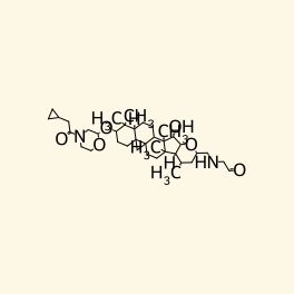 C[C@@H]1CC(CNCC=O)OC2[C@H]1C1(C)CCC34CC35CCC(O[C@H]3CN(C(=O)CC6CC6)CCO3)C(C)(C)[C@@H]5CCC4[C@]1(C)[C@H]2O